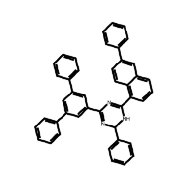 c1ccc(-c2cc(C3=NC(c4ccccc4)NC(c4cccc5cc(-c6ccccc6)ccc45)=N3)cc(-c3ccccc3)c2)cc1